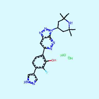 CC1(C)CC(n2nnc3cc(-c4ccc(-c5cn[nH]c5)c(F)c4O)nnc32)CC(C)(C)N1.Cl.Cl